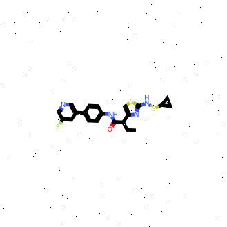 CCC(C(=O)Nc1ccc(-c2cncc(F)c2)cc1)c1csc(NSC2CC2)n1